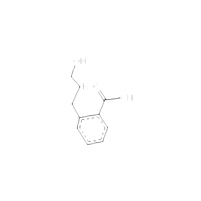 C=C(C)c1ccccc1CCCO